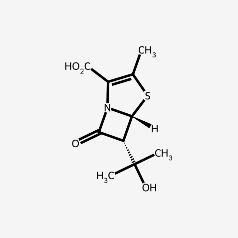 CC1=C(C(=O)O)N2C(=O)[C@@H](C(C)(C)O)[C@H]2S1